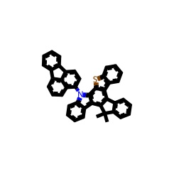 CC1(C)c2ccccc2-c2c1c1c3ccccc3n(-c3ccc4c5c(cccc35)-c3ccccc3-4)c1c1sc3ccccc3c21